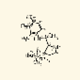 Cc1c(NC(C)C2NCC[C@@H]2O[Si](C)(C)C(C)(C)C)ccc(C#N)c1Cl